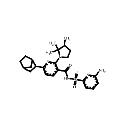 CC1CCN(c2nc(C3CC4CCC3C4)ccc2C(=O)NS(=O)(=O)c2cccc(N)n2)C1(C)C